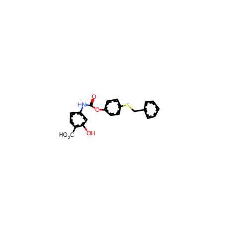 O=C(Nc1ccc(C(=O)O)c(O)c1)Oc1ccc(SCc2ccccc2)cc1